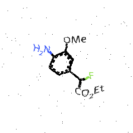 CCOC(=O)C(F)c1ccc(N)c(OC)c1